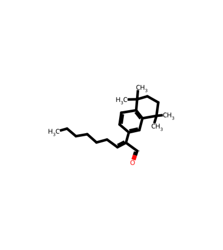 CCCCCC/C=C(/[C]=O)c1ccc2c(c1)C(C)(C)CCC2(C)C